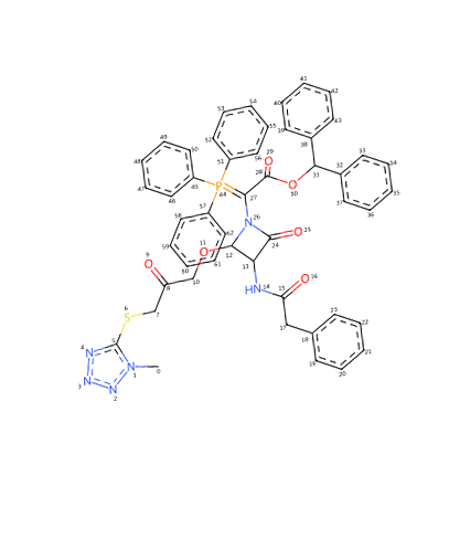 Cn1nnnc1SCC(=O)COC1C(NC(=O)Cc2ccccc2)C(=O)N1C(C(=O)OC(c1ccccc1)c1ccccc1)=P(c1ccccc1)(c1ccccc1)c1ccccc1